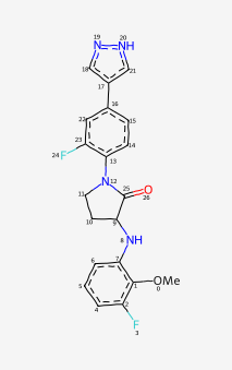 COc1c(F)cccc1NC1CCN(c2ccc(-c3cn[nH]c3)cc2F)C1=O